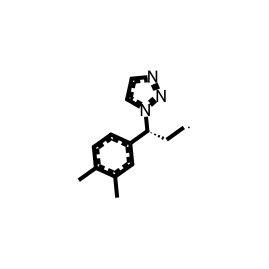 [CH2]C[C@H](c1ccc(C)c(C)c1)n1ccnn1